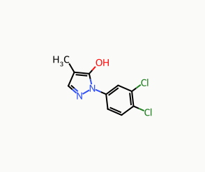 Cc1cnn(-c2ccc(Cl)c(Cl)c2)c1O